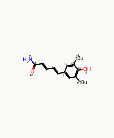 CC(C)(C)c1cc(C=CC=CC(N)=O)cc(C(C)(C)C)c1O